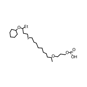 CCC(CCSCCCCCCCCC(C)OCCCO[P](=O)O)OC1CCCCC1